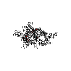 CN[C@H](CC(C)C)C(=O)N[C@H]1C(=O)N[C@@H](CC(N)=O)C(=O)N[C@H]2C(=O)N[C@H]3C(=O)N[C@H](C(=O)N[C@@H](C(=O)NNC(=O)CCOC)c4cc(O)cc(O)c4-c4cc3ccc4O)[C@H](O)c3ccc(c(Cl)c3)Oc3cc2cc(c3O[C@@H]2O[C@H](CO)[C@@H](O)[C@H](O)[C@H]2O[C@H]2C[C@](C)(NCCn3ccc(NC(=O)Cc4ccc(Cl)c(Cl)c4)nc3=O)[C@H](O)[C@H](C)O2)Oc2ccc(cc2Cl)[C@H]1O